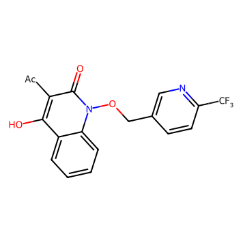 CC(=O)c1c(O)c2ccccc2n(OCc2ccc(C(F)(F)F)nc2)c1=O